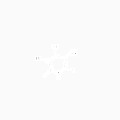 CCC1C(C#N)=C(C)NC(C)=C1C#N